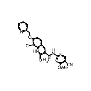 COc1nc(N[C@@H](C)c2cc3ccc(OCc4ccccn4)c(Cl)c3[nH]c2=O)ncc1C#N